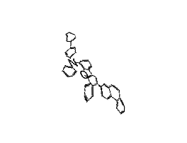 c1ccc(-c2ccc(N(c3ccccc3)c3cccc4c3oc3c5ccccc5c(-c5ccc6c(ccc7ccccc76)c5)cc43)cc2)cc1